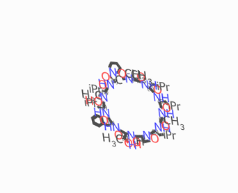 CC(C)C[C@@H]1NC(=O)[C@H](CC(C)C)NC(=O)[C@H](C)N(C)C(=O)C[C@@H](C(=O)N2CCCCC2)NC(=O)[C@H](C(C)C)N(C)C(O)[C@H](CC(C)C)NC(=O)[C@H](Cc2ccccc2)NC(=O)[C@H]([C@@H](C)O)NC(=O)[C@@H]2CCN2C(=O)[C@H](CC(C)C)NC(=O)[C@H](C)NC1=O